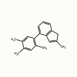 CC1=Cc2c(cccc2-c2cc(C)c(C)cc2C)C1